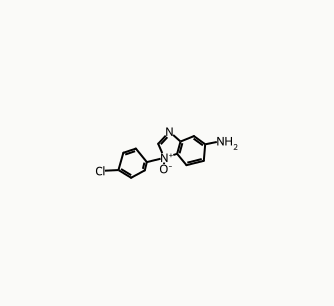 Nc1ccc2c(c1)N=C[N+]2([O-])c1ccc(Cl)cc1